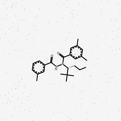 CCC[C@@H](N(NC(=O)c1cccc(C)c1)C(=O)c1cc(C)cc(C)c1)C(C)(C)C